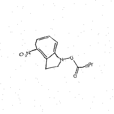 CCCC(=O)ON1CCc2c1cccc2[N+](=O)[O-]